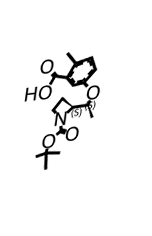 Cc1ccc(O[C@@H](C)[C@@H]2CCN2C(=O)OC(C)(C)C)cc1C(=O)O